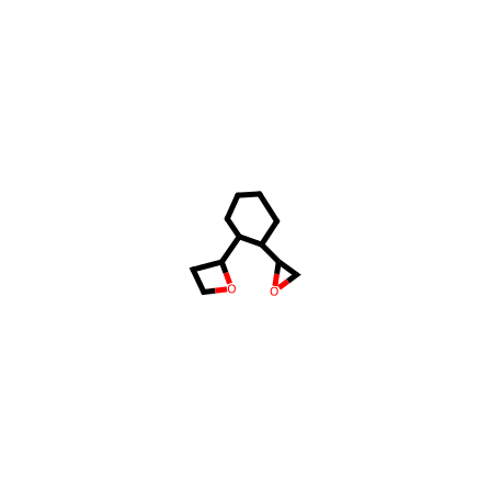 C1CCC(C2CO2)C(C2CCO2)C1